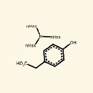 CCCCCCN(CCCCCC)CCCCCC.O=C(O)Cc1ccc(O)cc1